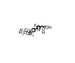 CC(C)(C)OC(=O)N1CC=C(c2ncc(CC(O)CO)cc2F)CC1